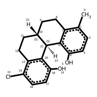 Cc1ccc(O)c2c1CC[C@H]1CCc3c(Cl)ccc(O)c3[C@H]21